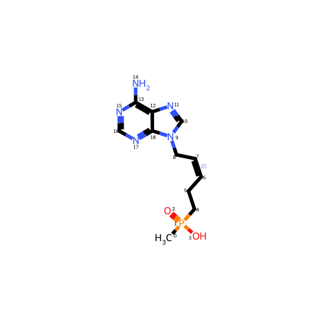 CP(=O)(O)CC/C=C\Cn1cnc2c(N)ncnc21